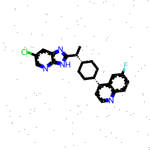 CC(c1nc2cc(Cl)cnc2[nH]1)[C@H]1CC[C@@H](c2ccnc3ccc(F)cc32)CC1